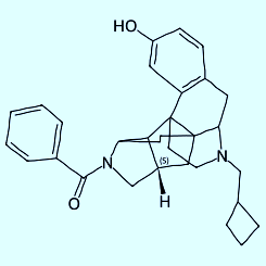 O=C(c1ccccc1)N1C[C@H]2CC34CCC1C2C31CCN(CC2CCC2)C4Cc2ccc(O)cc21